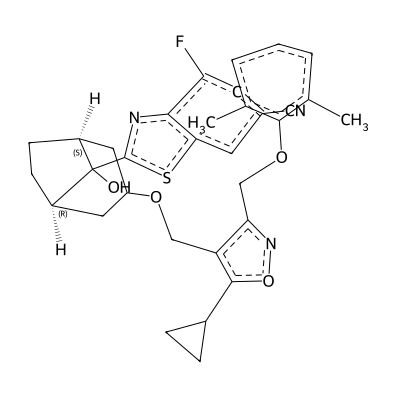 Cc1cccc(C)c1OCc1noc(C2CC2)c1COC1C[C@H]2CC[C@@H](C1)C2(O)c1nc2c(F)cc(C#N)cc2s1